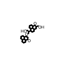 O=C1C=C(OCC(CO)c2ccc3c4c(cccc24)C(=O)C(CO)=C3)c2cccc3cccc1c23